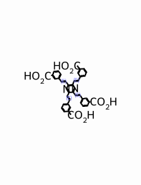 O=C(O)c1cccc(/C=C/c2nc(/C=C/c3cccc(C(=O)O)c3)c(/C=C/c3cccc(C(=O)O)c3)nc2/C=C/c2cccc(C(=O)O)c2)c1